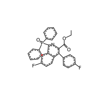 CCOC(=O)c1nc(P(=O)(c2ccccc2)c2ccccc2)c2cc(F)ccc2c1-c1ccc(F)cc1